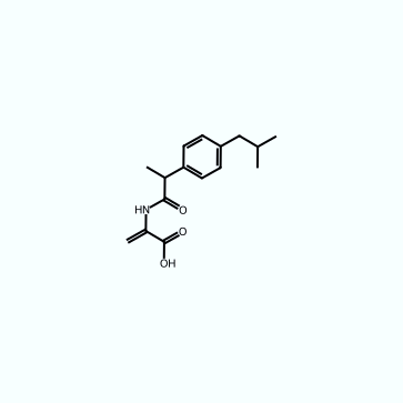 C=C(NC(=O)C(C)c1ccc(CC(C)C)cc1)C(=O)O